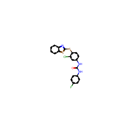 O=C(Nc1ccc(F)cc1)Nc1ccc(Sc2nc3ccccc3s2)c(Cl)c1